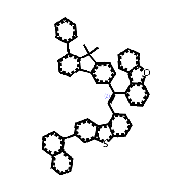 CC1(C)c2ccc(/C(=C/c3cccc4sc5cc(-c6cccc7ccccc67)ccc5c34)c3cccc4oc5ccccc5c34)cc2-c2cccc(-c3ccccc3)c21